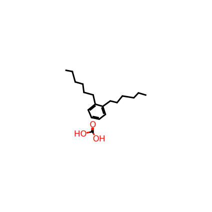 CCCCCCc1ccccc1CCCCCC.O=C(O)O